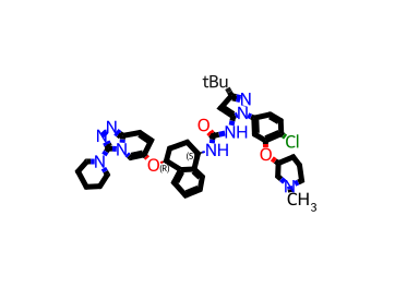 CN1CCCC(Oc2cc(-n3nc(C(C)(C)C)cc3NC(=O)N[C@H]3CC[C@@H](Oc4ccc5nnc(N6CCCCC6)n5c4)c4ccccc43)ccc2Cl)C1